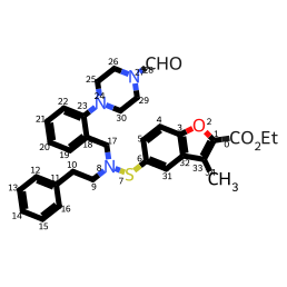 CCOC(=O)c1oc2ccc(SN(CCc3ccccc3)Cc3ccccc3N3CCN(C=O)CC3)cc2c1C